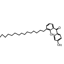 CCCCCCCCCCCCCCCc1cccc(C(=O)c2ccc(O)cc2)c1O